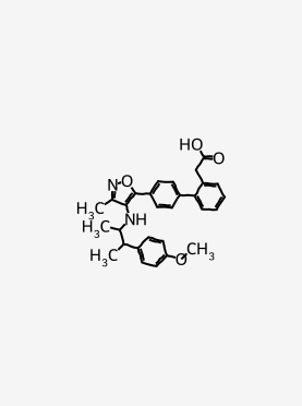 COc1ccc(C(C)C(C)Nc2c(C)noc2-c2ccc(-c3ccccc3CC(=O)O)cc2)cc1